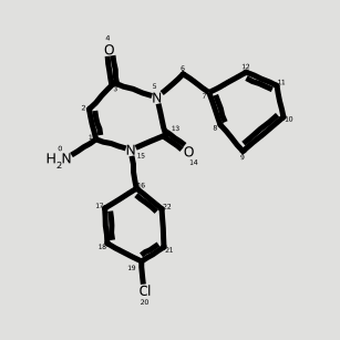 Nc1cc(=O)n(Cc2ccccc2)c(=O)n1-c1ccc(Cl)cc1